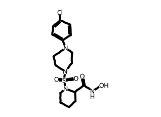 O=C(NO)C1CCCCN1S(=O)(=O)N1CCN(c2ccc(Cl)cc2)CC1